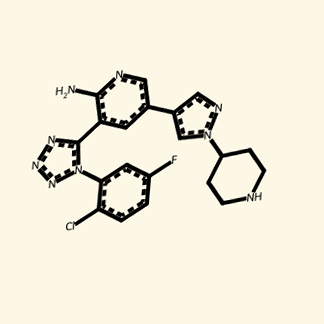 Nc1ncc(-c2cnn(C3CCNCC3)c2)cc1-c1nnnn1-c1cc(F)ccc1Cl